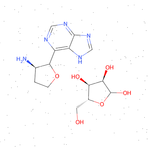 N[C@@H]1CCOC1c1ncnc2nc[nH]c12.OC[C@H]1OC(O)[C@H](O)[C@@H]1O